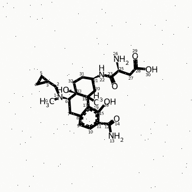 CN(CC1CC1)[C@@H]1Cc2ccc(C(N)=O)c(O)c2C2(C)C[C@H](NC(=O)[C@@H](N)CC(=O)O)CC[C@@]12O